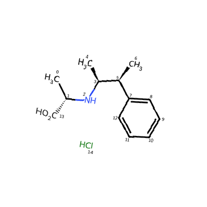 C[C@H](N[C@@H](C)[C@@H](C)c1ccccc1)C(=O)O.Cl